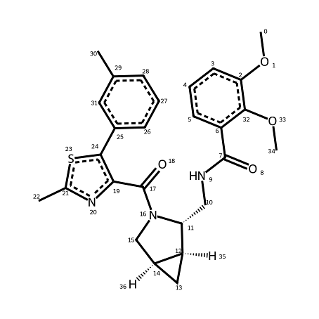 COc1cccc(C(=O)NC[C@@H]2[C@H]3C[C@H]3CN2C(=O)c2nc(C)sc2-c2cccc(C)c2)c1OC